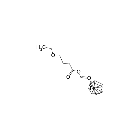 CCOCCCC(=O)OC=O.[CH]12[CH]3[CH]4[CH]5[CH]1[Fe]23451678[CH]2[CH]1[CH]6[CH]7[CH]28